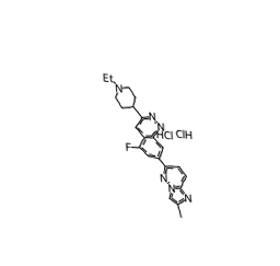 CCN1CCC(c2cc3c(F)cc(-c4ccc5nc(C)cn5n4)cc3nn2)CC1.Cl.Cl